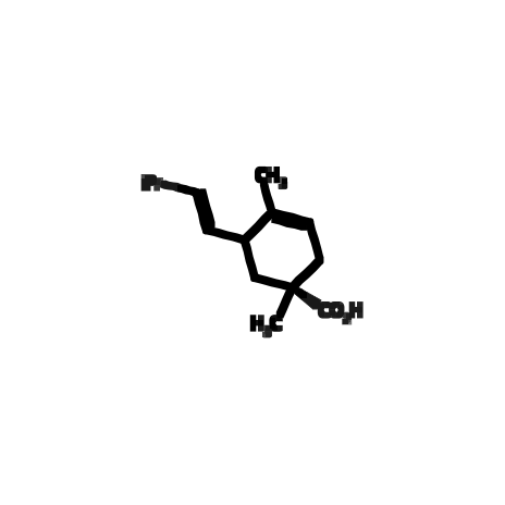 CC1=CC[C@@](C)(C(=O)O)CC1/C=C/C(C)C